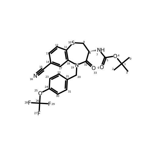 CC(C)(C)OC(=O)N[C@H]1CSc2ccc(C#N)cc2N(Cc2ccc(OC(F)(F)F)cc2)C1=O